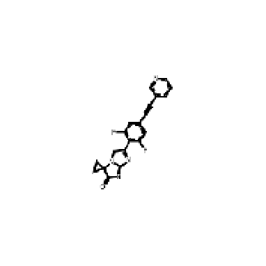 O=C1N=C2N=C(c3c(F)cc(C#Cc4cccnc4)cc3F)CN2C12CC2